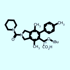 Cc1ccc(-c2c(C)c3c(c(C)c2[C@H](OC(C)(C)C)C(=O)O)CN(C(=O)N2CCCCC2)C3)cc1